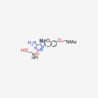 CCC[C@H](CCO)Oc1nc(N)c2ncc(Cc3ccc(OCCNC)cc3OC)n2n1